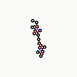 c1ccc(-c2cccc(-c3ccc(N(c4ccccc4-c4cccc5ccccc45)c4ccccc4-c4cc5ccccc5c5cc(-c6ccc(-c7ccc(-c8ccc(N(c9ccccc9-c9cccc%10ccccc9%10)c9ccccc9-c9cc%10ccccc%10c%10ccccc9%10)cc8)cc7)cc6)ccc45)cc3)c2)cc1